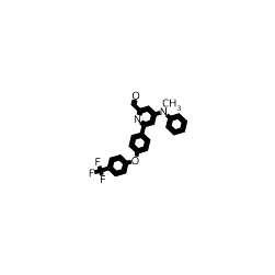 CN(c1ccccc1)c1cc(C=O)nc(-c2ccc(Oc3ccc(C(F)(F)F)cc3)cc2)c1